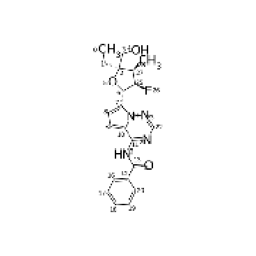 CC[C@@]1(CO)O[C@@H](c2ccc3c(NC(=O)c4ccccc4)ncnn23)[C@H](F)[C@@H]1C